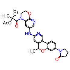 CC(=O)OC(C)(C)C(=O)N1CCOc2ncc(Nc3cc4c(cn3)-c3ccc(N5CCCC5=O)cc3OC4C)cc21